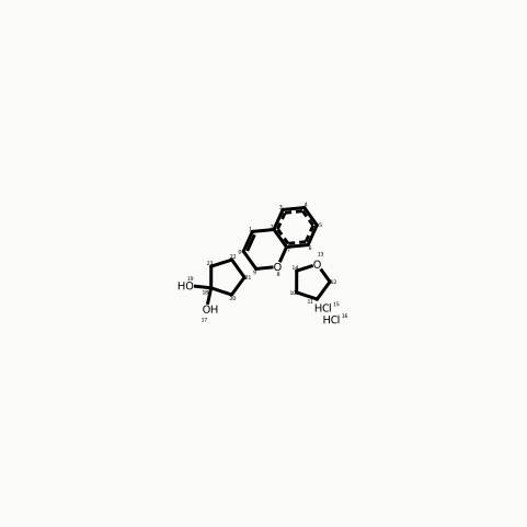 C1=Cc2ccccc2OC1.C1CCOC1.Cl.Cl.OC1(O)CCCC1